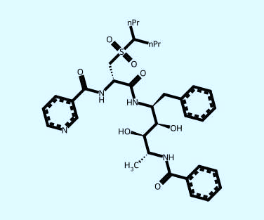 CCCC(CCC)S(=O)(=O)C[C@@H](NC(=O)c1cccnc1)C(=O)N[C@@H](Cc1ccccc1)[C@@H](O)[C@H](O)[C@@H](C)NC(=O)c1ccccc1